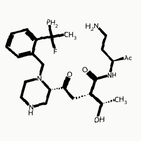 CC(=O)[C@H](CCN)NC(=O)[C@@H](CC(=O)[C@@H]1CNCCN1Cc1ccccc1C(C)(F)P)[C@H](C)O